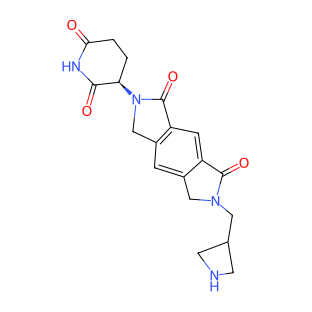 O=C1CC[C@@H](N2Cc3cc4c(cc3C2=O)C(=O)N(CC2CNC2)C4)C(=O)N1